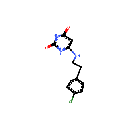 O=c1cc(NCCc2ccc(Cl)cc2)[nH]c(=O)[nH]1